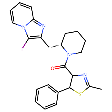 CC1=NC(C(=O)N2CCCC[C@H]2Cc2nc3ccccn3c2I)C(c2ccccc2)S1